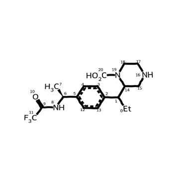 CCC(c1ccc([C@H](C)NC(=O)C(F)(F)F)cc1)C1CNCCN1C(=O)O